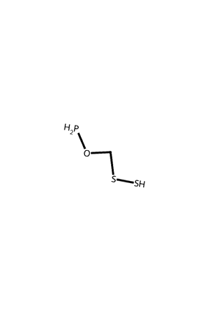 POCSS